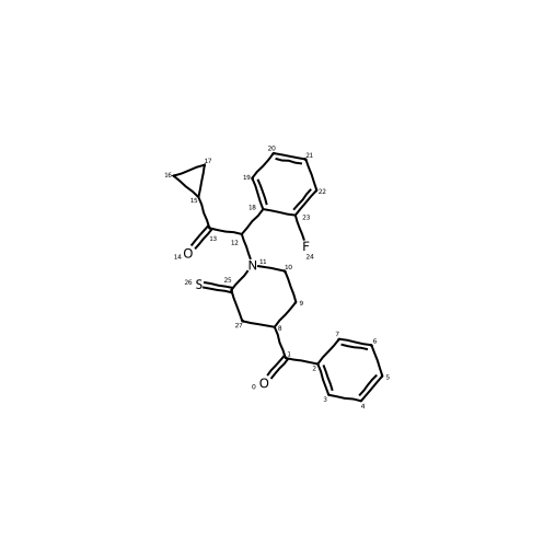 O=C(c1ccccc1)C1CCN(C(C(=O)C2CC2)c2ccccc2F)C(=S)C1